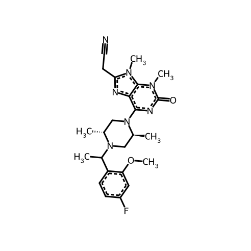 COc1cc(F)ccc1C(C)N1C[C@H](C)N(c2nc(=O)n(C)c3c2nc(CC#N)n3C)C[C@H]1C